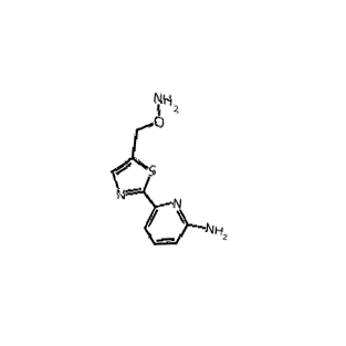 NOCc1cnc(-c2cccc(N)n2)s1